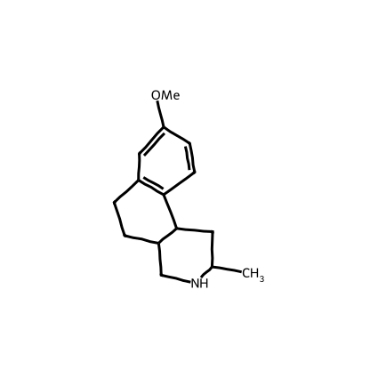 COc1ccc2c(c1)CCC1CNC(C)CC21